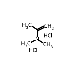 C=C(C)N(C)C.Cl.Cl